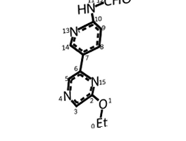 CCOc1cncc(-c2ccc(NC=O)nc2)n1